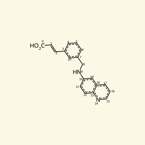 O=C(O)C=Cc1cccc(CNc2ccc3ncccc3c2)c1